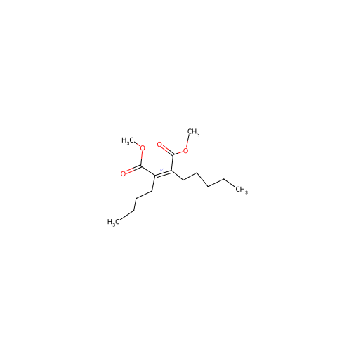 CCCCC/C(C(=O)OC)=C(\CCCC)C(=O)OC